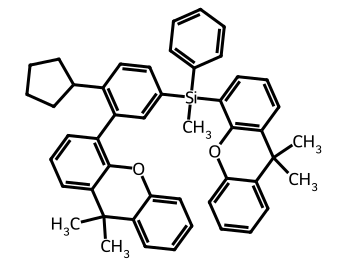 CC1(C)c2ccccc2Oc2c(-c3cc([Si](C)(c4ccccc4)c4cccc5c4Oc4ccccc4C5(C)C)ccc3C3CCCC3)cccc21